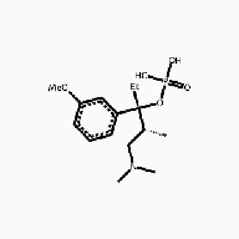 CC[C@](OP(=O)(O)O)(c1cccc(OC)c1)[C@H](C)CN(C)C